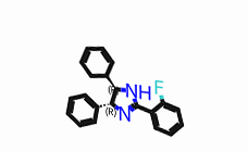 Fc1ccccc1C1=N[C@H](c2ccccc2)[C@@H](C2C=CC=CC2)N1